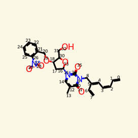 C=C/C=C\C=C(/C=C)Cn1c(=O)c(C)cn([C@H]2C[C@@H](OCc3ccccc3[N+](=O)[O-])C(CO)O2)c1=O